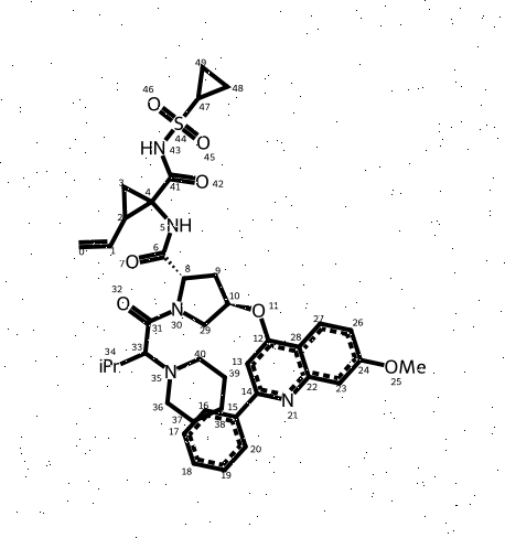 C=CC1CC1(NC(=O)[C@@H]1C[C@@H](Oc2cc(-c3ccccc3)nc3cc(OC)ccc23)CN1C(=O)C(C(C)C)N1CCCCC1)C(=O)NS(=O)(=O)C1CC1